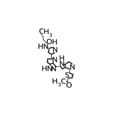 CCCCC(O)Nc1cncc(-c2ccc3[nH]nc(-c4cc5c(-c6ccc(C(C)=O)s6)nccc5[nH]4)c3n2)c1